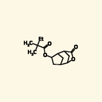 CCC(C)(C)C(=O)OC1CC2CC1C1CC2OC1=O